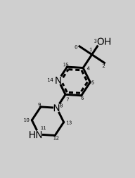 CC(C)(O)c1ccc(N2CCNCC2)nc1